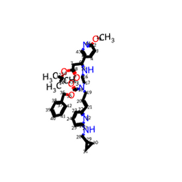 COc1ccc(C(CC(=O)OC(C)(C)C)NCCN(CC=Cc2cccc(NCC3CC3)n2)C(=O)OCc2ccccc2)cn1